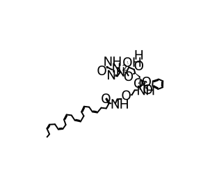 CC/C=C\C/C=C\C/C=C\C/C=C\C/C=C\C/C=C\CCC(=O)NCCOCCNP(=O)(OC[C@H]1O[C@@H](n2cnc(C(N)=O)n2)[C@H](O)[C@@H]1O)Oc1ccccc1